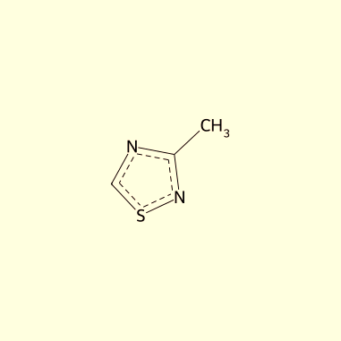 Cc1ncsn1